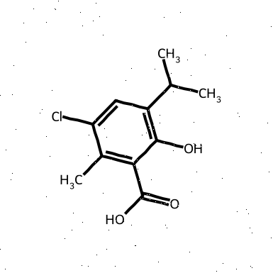 Cc1c(Cl)cc(C(C)C)c(O)c1C(=O)O